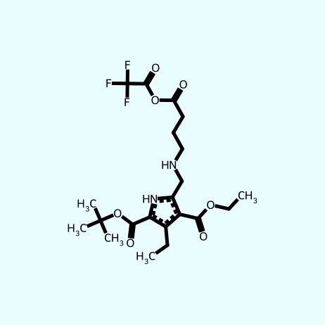 CCOC(=O)c1c(CNCCCC(=O)OC(=O)C(F)(F)F)[nH]c(C(=O)OC(C)(C)C)c1CC